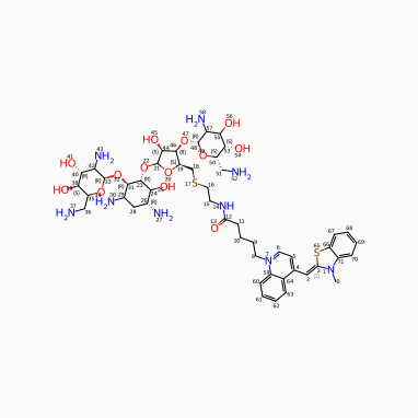 CN1/C(=C/c2cc[n+](CCCCC(=O)NCCSC[C@H]3OC(O[C@@H]4C(O)[C@H](N)CC(N)[C@H]4O[C@H]4OC(CN)[C@@H](O)[C@H](O)C4N)[C@@H](O)[C@H]3O[C@H]3O[C@@H](CN)[C@@H](O)C(O)C3N)c3ccccc23)Sc2ccccc21